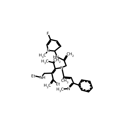 C=C(CN(/C(C)=C/C(=N\C)c1ccccc1)/C(C(=C)C)=C(/CNCC)C(=C)CC)NC1C=CC(F)=CN1C